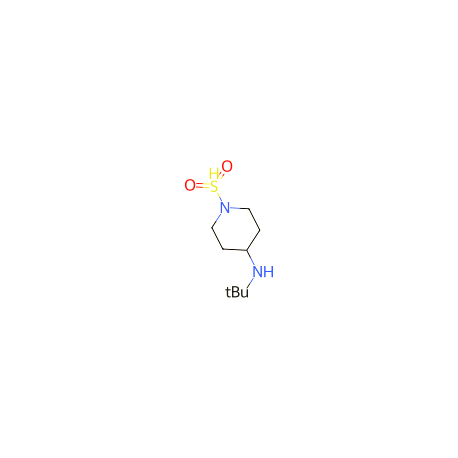 CC(C)(C)NC1CCN([SH](=O)=O)CC1